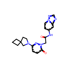 O=C(Cn1nc(N2CCC3(CCC3)C2)ccc1=O)Nc1ccn2ncnc2c1